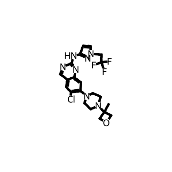 CC1(N2CCN(c3cc4nc(Nc5ccn(CC(F)(F)F)n5)ncc4cc3Cl)CC2)COC1